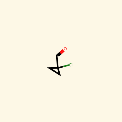 O=CC1(Cl)CC1